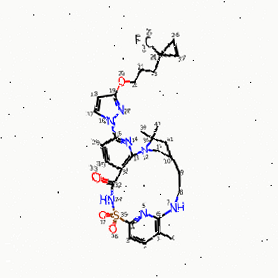 Cc1ccc2nc1NCCC1CN(c3nc(-n4ccc(OCCCC5(C(F)(F)F)CC5)n4)ccc3C(=O)NS2(=O)=O)C(C)(C)C1